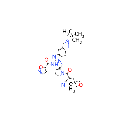 CC(C)(C)CNCc1ccc2c(c1)nc(NC(=O)c1ccno1)n2C[C@H]1CCCN1C(=O)C(C#N)=CC1(C)COC1